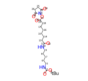 CC(C)(C)OC(=O)NCCCCCNC(=O)CCCCCCC(=O)ON1C(=O)CCC1=O